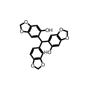 Oc1cc2c(cc1C(c1ccc3c(c1)OCO3)c1cc3c(cc1O)OCO3)OCO2